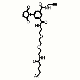 C#CCNC(=O)c1cc(C(=O)NCCOCCOCCNC(=O)CCCC(C)=O)cc(N2C(=O)C=CC2=O)c1